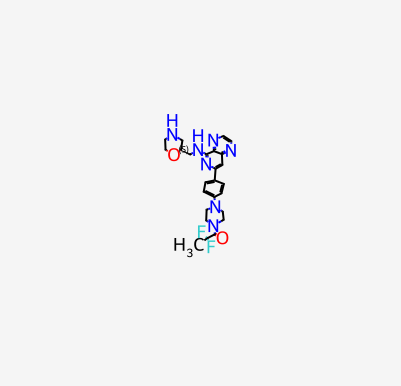 CC(F)(F)C(=O)N1CCN(c2ccc(-c3cc4nccnc4c(NC[C@@H]4CNCCO4)n3)cc2)CC1